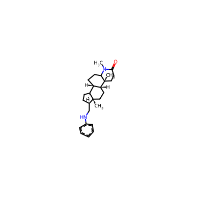 CN1C(=O)CC[C@@]2(C)C1CC[C@@H]1[C@H]2CC[C@]2(C)C(CNc3ccccc3)CC[C@@H]12